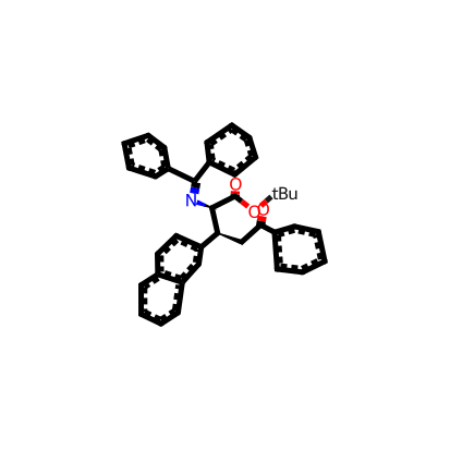 CC(C)(C)OC(=O)[C@H](N=C(c1ccccc1)c1ccccc1)[C@@H](CC(=O)c1ccccc1)c1ccc2ccccc2c1